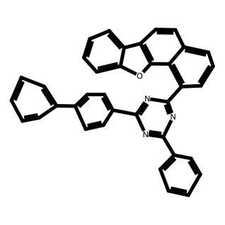 c1ccc(-c2ccc(-c3nc(-c4ccccc4)nc(-c4cccc5ccc6c7ccccc7oc6c45)n3)cc2)cc1